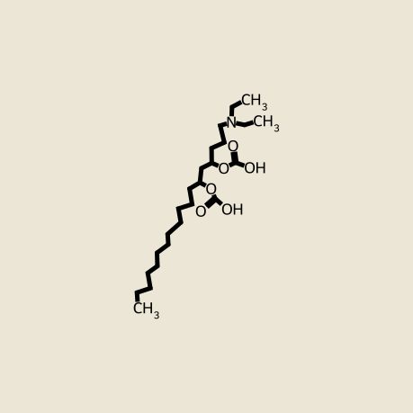 CCCCCCCCCCCCC(CC(CCCN(CC)CC)OC(=O)O)OC(=O)O